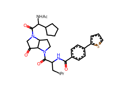 CC(=O)NC(C(=O)N1CC(=O)C2C1CCN2C(=O)C(CC(C)C)NC(=O)c1ccc(-c2cccs2)cc1)C1CCCC1